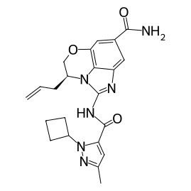 C=CC[C@H]1COc2cc(C(N)=O)cc3nc(NC(=O)c4cc(C)nn4C4CCC4)n1c23